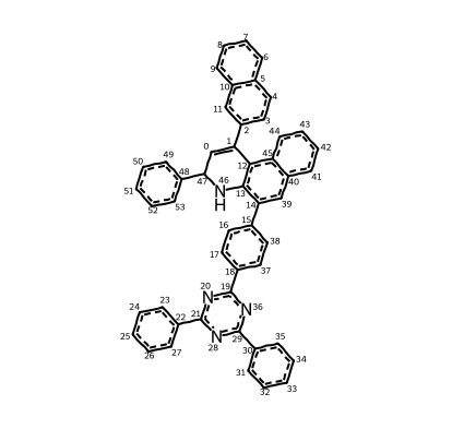 C1=C(c2ccc3ccccc3c2)c2c(c(-c3ccc(-c4nc(-c5ccccc5)nc(-c5ccccc5)n4)cc3)cc3ccccc23)NC1c1ccccc1